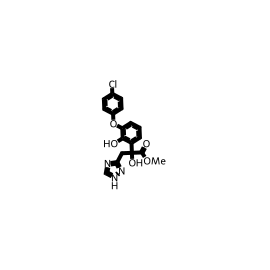 COC(=O)C(O)(Cc1nc[nH]n1)c1cccc(Oc2ccc(Cl)cc2)c1O